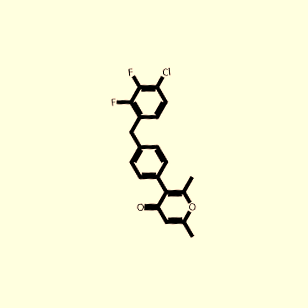 Cc1cc(=O)c(-c2ccc(Cc3ccc(Cl)c(F)c3F)cc2)c(C)o1